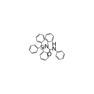 O=C(Nc1ccccc1)N(c1ccccc1)[Si](c1ccccc1)(c1ccccc1)c1ccccc1